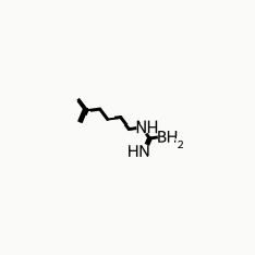 BC(=N)NCCCCC(=C)C